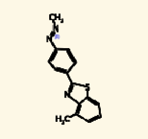 C/N=N/c1ccc(-c2nc3c(C)cccc3s2)cc1